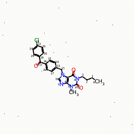 CCCCn1c(=O)c2c(ncn2Cc2ccc(C(=O)c3ccc(Cl)cc3)cc2)n(C)c1=O